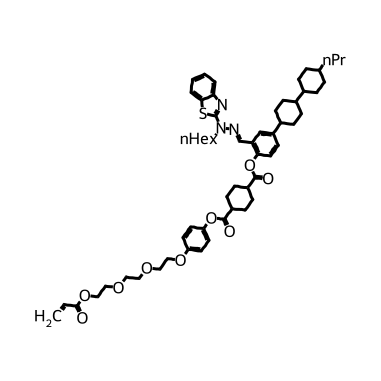 C=CC(=O)OCCOCCOCCOc1ccc(OC(=O)C2CCC(C(=O)Oc3ccc(C4CCC(C5CCC(CCC)CC5)CC4)cc3/C=N/N(CCCCCC)c3nc4ccccc4s3)CC2)cc1